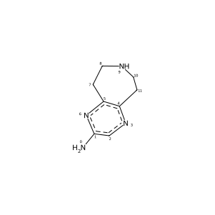 Nc1cnc2c(n1)CCNCC2